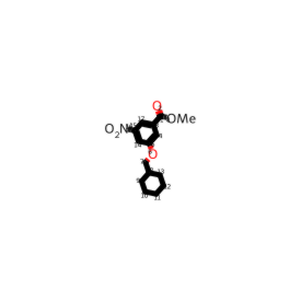 COC(=O)c1cc(OCC2CCCCC2)cc([N+](=O)[O-])c1